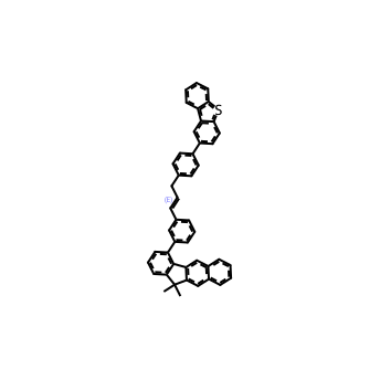 CC1(C)c2cc3ccccc3cc2-c2c(-c3cccc(/C=C/Cc4ccc(-c5ccc6sc7ccccc7c6c5)cc4)c3)cccc21